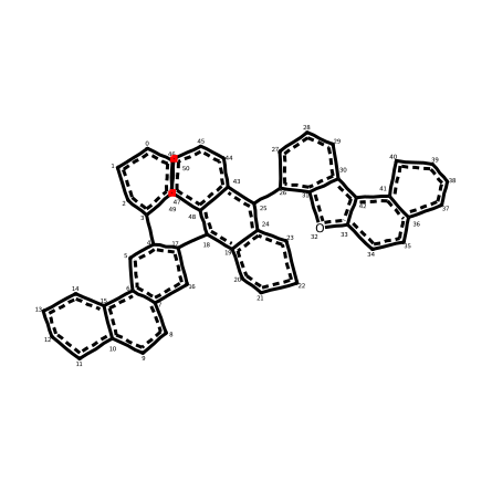 c1ccc(-c2cc3c(ccc4ccccc43)cc2-c2c3ccccc3c(-c3cccc4c3oc3ccc5ccccc5c34)c3ccccc23)cc1